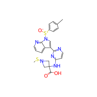 CSN1CC(Nc2ccnc(-c3cn([S+]([O-])c4ccc(C)cc4)c4ncccc34)n2)(C(=O)O)C1